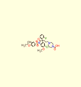 COc1cc2c(cc1Cl)C(CCCN1CCCN(C(=O)O)CC1)(c1ccccc1F)C(=O)N2S(=O)(=O)c1ccc(OC(C)C)cc1